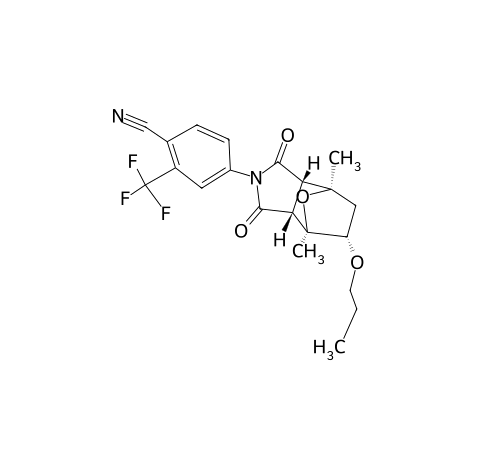 CCCO[C@H]1C[C@@]2(C)O[C@]1(C)[C@@H]1C(=O)N(c3ccc(C#N)c(C(F)(F)F)c3)C(=O)[C@@H]12